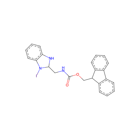 O=C(NCC1Nc2ccccc2N1I)OCC1c2ccccc2-c2ccccc21